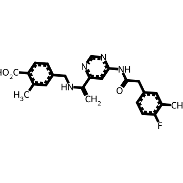 C=C(NCc1ccc(C(=O)O)c(C)c1)c1cc(NC(=O)Cc2ccc(F)c(C)c2)ncn1